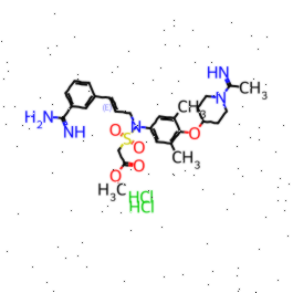 COC(=O)CS(=O)(=O)N(C/C=C/c1cccc(C(=N)N)c1)c1cc(C)c(OC2CCN(C(C)=N)CC2)c(C)c1.Cl.Cl